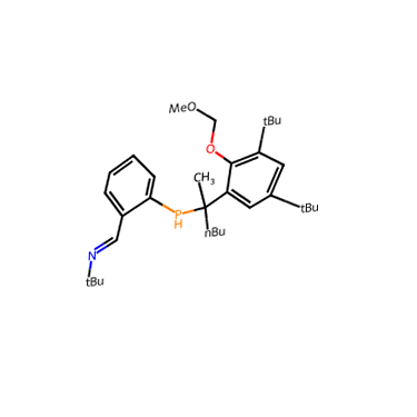 CCCCC(C)(Pc1ccccc1/C=N/C(C)(C)C)c1cc(C(C)(C)C)cc(C(C)(C)C)c1OCOC